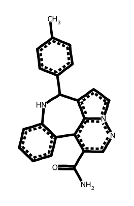 Cc1ccc(C2Nc3ccccc3-c3c(C(N)=O)cnn4ccc2c34)cc1